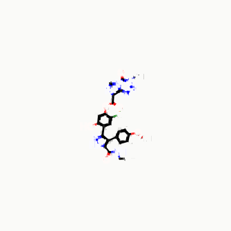 CCNC(=O)c1[nH]nc(-c2cc(Cl)c(OC(=O)c3ncn4c(=O)n(C)nnc34)cc2O)c1-c1ccc(OC)cc1